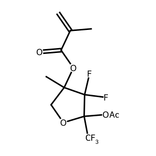 C=C(C)C(=O)OC1(C)COC(OC(C)=O)(C(F)(F)F)C1(F)F